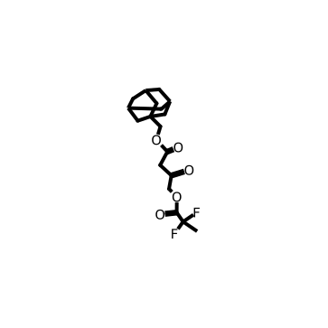 CC(F)(F)C(=O)OCC(=O)CC(=O)OCC12CC3CC(CC(C3)C1)C2